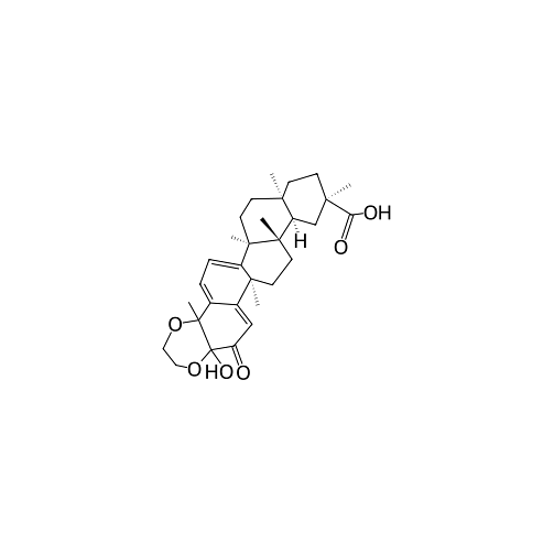 CC12OCCOC1(O)C(=O)C=C1C2=CC=C2[C@@]1(C)CC[C@@]1(C)[C@@H]3C[C@](C)(C(=O)O)CC[C@]3(C)CC[C@]21C